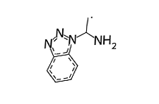 [CH2]C(N)n1nnc2ccccc21